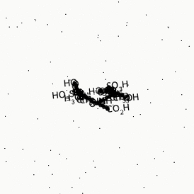 CC1=[N+](CCCCCC(=O)NCC(CCCCCC(=O)O)CNCCCCCC2(C)C(C)=[N+](CCCSOOO)c3ccc4c(S(=O)(=O)O)cc(SOOO)cc4c32)c2ccc3c(SOOO)cc(S(=O)(=O)O)cc3c2C1(C)C